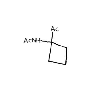 CC(=O)NC1(C(C)=O)CCC1